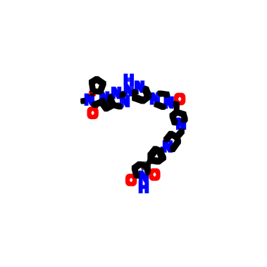 CN(C)C(=O)c1cc2cnc(Nc3ccc(N4CCN(C(=O)C5CCN(CC6CCN(c7ccc([C@@H]8CCC(=O)NC8=O)cc7)CC6)CC5)CC4)cn3)nc2n1C1CCCC1